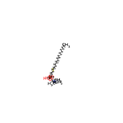 CCCCCCCCCCCCCCCCCCSCCCOP(=O)(O)OCC[N+](C)(C)C